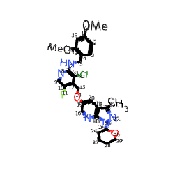 COc1ccc(CNc2ncc(F)c(COc3cnc4c(c3)c(C)nn4C3CCCCO3)c2Cl)c(OC)c1